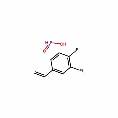 C=Cc1ccc(CC)c(CC)c1.O=[PH2]O